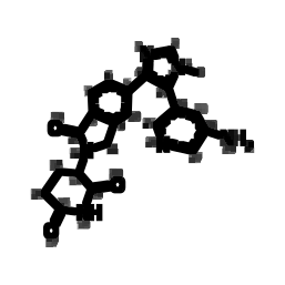 Cn1cnc(-c2ccc3c(c2)CN(C2CCC(=O)NC2=O)C3=O)c1-c1cncc(N)c1